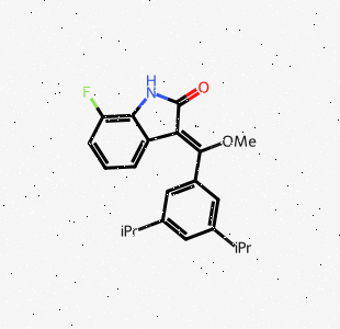 COC(=C1C(=O)Nc2c(F)cccc21)c1cc(C(C)C)cc(C(C)C)c1